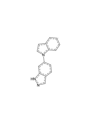 [c]1ccc2c(c1)ccn2-c1ccc2cn[nH]c2c1